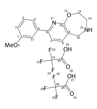 COc1cccc(-c2ccc3c(n2)OCCNC3)c1.O=C(O)C(F)(F)F.O=C(O)C(F)(F)F